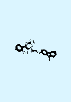 CC(=O)OC(CNCCOc1ccc2c(c1)[nH]c1ccccc12)c1ccccc1O